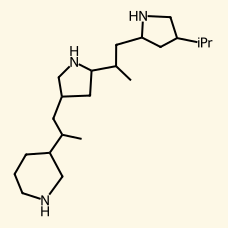 CC(C)C1CNC(CC(C)C2CC(CC(C)C3CCCNC3)CN2)C1